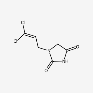 O=C1CN(CC=C(Cl)Cl)C(=O)N1